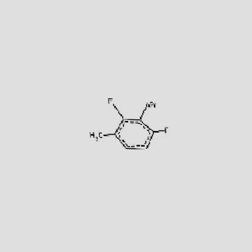 CCCc1c(F)ccc(C)c1F